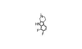 CN1CCc2c([nH]c3c(F)c(F)ccc23)C1